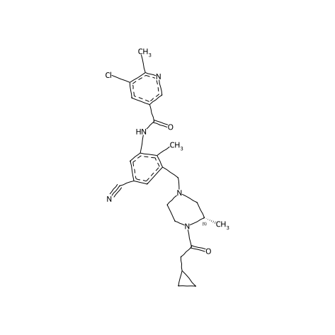 Cc1ncc(C(=O)Nc2cc(C#N)cc(CN3CCN(C(=O)CC4CC4)[C@@H](C)C3)c2C)cc1Cl